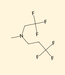 CN(CCC(F)(F)F)CC(F)(F)F